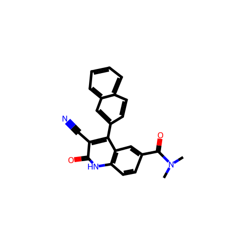 CN(C)C(=O)c1ccc2[nH]c(=O)c(C#N)c(-c3ccc4ccccc4c3)c2c1